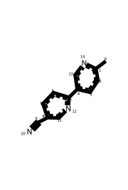 Cc1ccc(-c2ccc(C#N)cn2)cn1